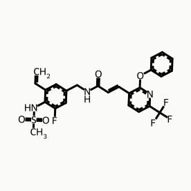 C=Cc1cc(CNC(=O)C=Cc2ccc(C(F)(F)F)nc2Oc2ccccc2)cc(F)c1NS(C)(=O)=O